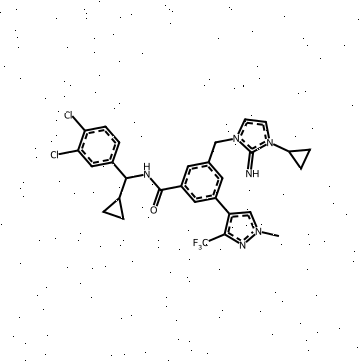 Cn1cc(-c2cc(Cn3ccn(C4CC4)c3=N)cc(C(=O)NC(c3ccc(Cl)c(Cl)c3)C3CC3)c2)c(C(F)(F)F)n1